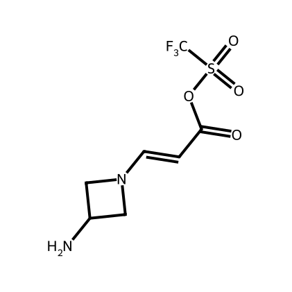 NC1CN(C=CC(=O)OS(=O)(=O)C(F)(F)F)C1